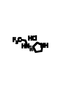 Cl.FC(F)(F)CN[C@H]1CCNC1